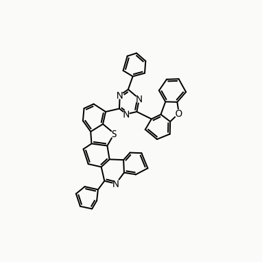 c1ccc(-c2nc(-c3cccc4c3sc3c4ccc4c(-c5ccccc5)nc5ccccc5c43)nc(-c3cccc4oc5ccccc5c34)n2)cc1